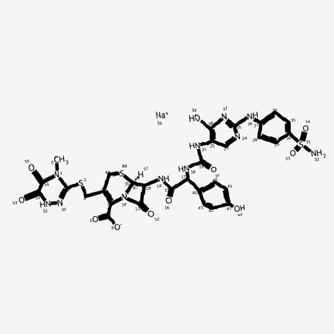 Cn1c(SCC2=C(C(=O)[O-])N3C(=O)C(NC(=O)C(NC(=O)Nc4cnc(Nc5ccc(S(N)(=O)=O)cc5)nc4O)c4ccc(O)cc4)[C@@H]3SC2)n[nH]c(=O)c1=O.[Na+]